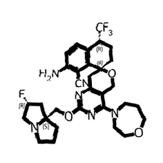 N#Cc1c(N)ccc2c1[C@@]1(CC[C@H]2C(F)(F)F)Cc2nc(OC[C@@]34CCCN3C[C@H](F)C4)nc(N3CCCOCC3)c2CO1